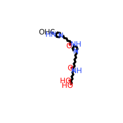 O=CNC1CCN(CCCCCC(=O)NC2CCN(CCCCCCCC(=O)NCCCCC(O)CO)CC2)CC1